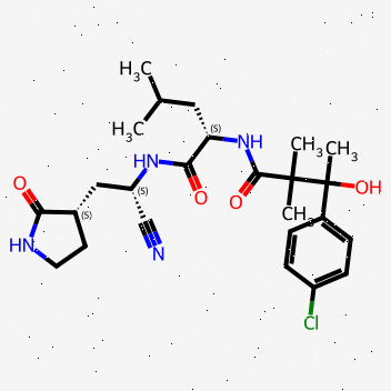 CC(C)C[C@H](NC(=O)C(C)(C)C(C)(O)c1ccc(Cl)cc1)C(=O)N[C@H](C#N)C[C@@H]1CCNC1=O